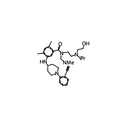 C#Cc1ccccc1N1CCC(Nc2cc(C(=O)N(CCN(CCO)C(C)C)CNC)c(C)cc2C)CC1